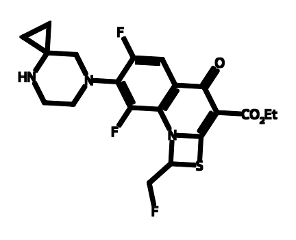 CCOC(=O)c1c2n(c3c(F)c(N4CCNC5(CC5)C4)c(F)cc3c1=O)C(CF)S2